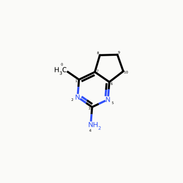 Cc1nc(N)nc2c1CCC2